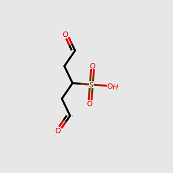 O=[C]CC(CC=O)S(=O)(=O)O